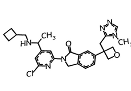 CC(NCC1CCC1)c1cc(Cl)nc(N2Cc3ccc(C4(Cc5nncn5C)COC4)cc3C2=O)c1